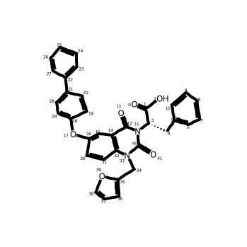 O=C(O)[C@H](Cc1ccccc1)n1c(=O)c2cc(Oc3ccc(-c4ccccc4)cc3)ccc2n(Cc2ccco2)c1=O